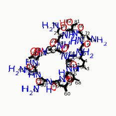 CC[C@H](C)CCCCC(=O)N[C@@H](CCN)C(=O)N[C@H](C(=O)N[C@@H](CCN)C(=O)N[C@H]1CCNC(=O)[C@H](C(C)O)NC(=O)[C@H](/C=C/N)NC(=O)[C@H](CCN)NC(=O)[C@H](CC(C)C)NC(=O)[C@@H](CC(C)C)NC[C@](C=O)(CCN)NC1=O)C(C)O